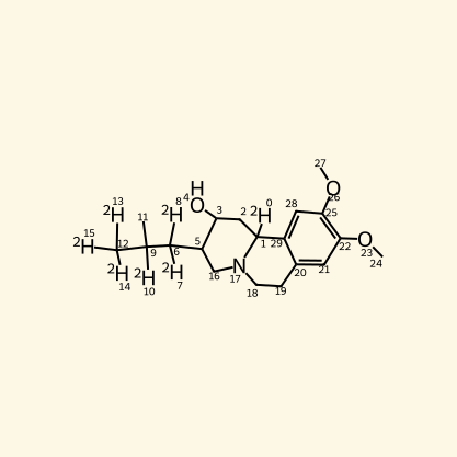 [2H]C12CC(O)C(C([2H])([2H])C([2H])(C)C([2H])([2H])[2H])CN1CCc1cc(OC)c(OC)cc12